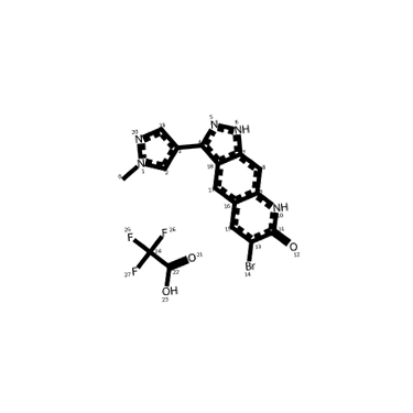 Cn1cc(-c2n[nH]c3cc4[nH]c(=O)c(Br)cc4cc23)cn1.O=C(O)C(F)(F)F